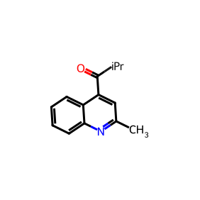 Cc1cc(C(=O)C(C)C)c2ccccc2n1